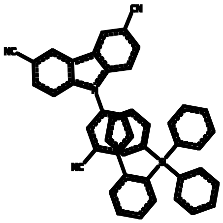 N#Cc1ccc2c(c1)c1cc(C#N)ccc1n2-c1ccc(-c2ccccc2[Si](c2ccccc2)(c2ccccc2)c2ccccc2)c(C#N)c1